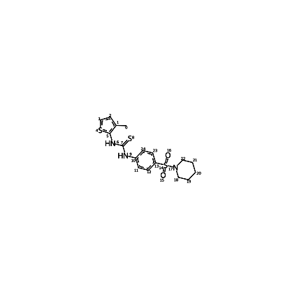 Cc1ccsc1NC(=S)Nc1ccc(S(=O)(=O)N2CCCCC2)cc1